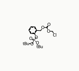 CC(C)(C)OP(=O)(Oc1ccccc1COC(=O)OCCl)OC(C)(C)C